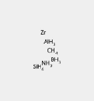 B.C.N.[AlH3].[SiH4].[Zr]